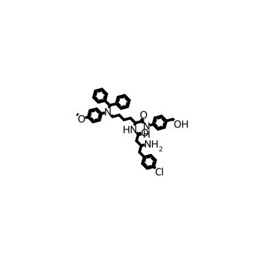 COc1ccc(N(CCCCC(NC(=O)CC(N)Cc2ccc(Cl)cc2)C(=O)Nc2ccc(CO)cc2)C(c2ccccc2)c2ccccc2)cc1